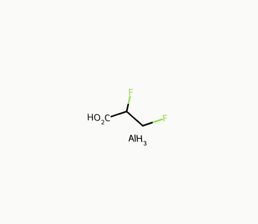 O=C(O)C(F)CF.[AlH3]